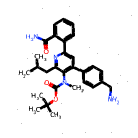 CC(C)Cc1nc(-c2ccccc2C(N)=O)cc(-c2ccc(CN)cc2)c1N(C)C(=O)OC(C)(C)C